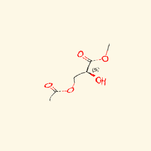 COC(=O)[C@@H](O)COC(C)=O